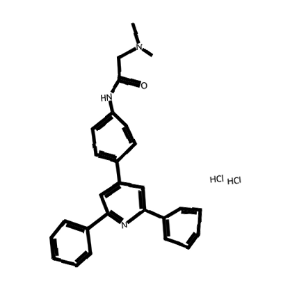 CN(C)CC(=O)Nc1ccc(-c2cc(-c3ccccc3)nc(-c3ccccc3)c2)cc1.Cl.Cl